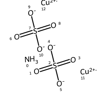 N.O=S(=O)([O-])[O-].O=S(=O)([O-])[O-].[Cu+2].[Cu+2]